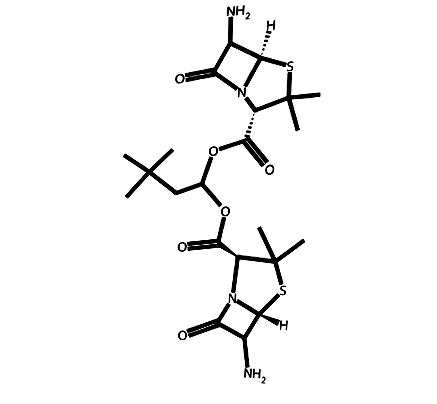 CC(C)(C)CC(OC(=O)[C@@H]1N2C(=O)C(N)[C@H]2SC1(C)C)OC(=O)[C@@H]1N2C(=O)C(N)[C@H]2SC1(C)C